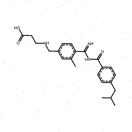 Cc1cc(CNCCC(=O)O)ccc1C(=N)NC(=O)c1ccc(CC(C)C)cc1